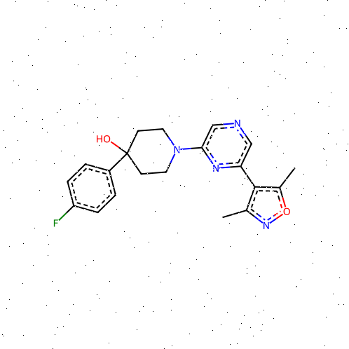 Cc1noc(C)c1-c1cncc(N2CCC(O)(c3ccc(F)cc3)CC2)n1